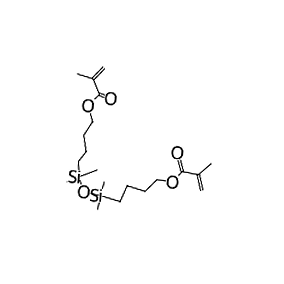 C=C(C)C(=O)OCCCC[Si](C)(C)O[Si](C)(C)CCCCOC(=O)C(=C)C